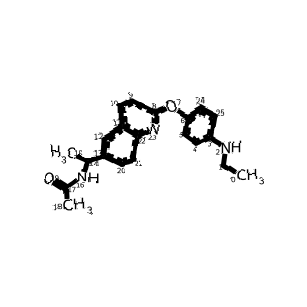 CCNc1ccc(Oc2ccc3cc(C(C)NC(C)=O)ccc3n2)cc1